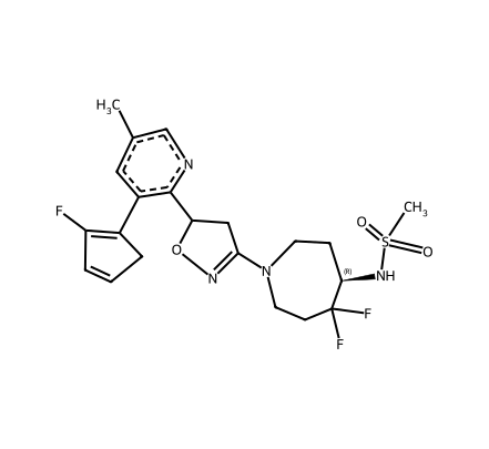 Cc1cnc(C2CC(N3CC[C@@H](NS(C)(=O)=O)C(F)(F)CC3)=NO2)c(C2=C(F)C=CC2)c1